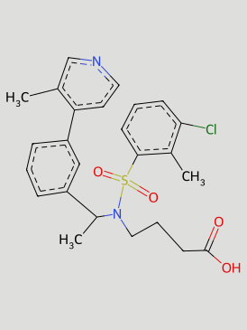 Cc1cnccc1-c1cccc(C(C)N(CCCC(=O)O)S(=O)(=O)c2cccc(Cl)c2C)c1